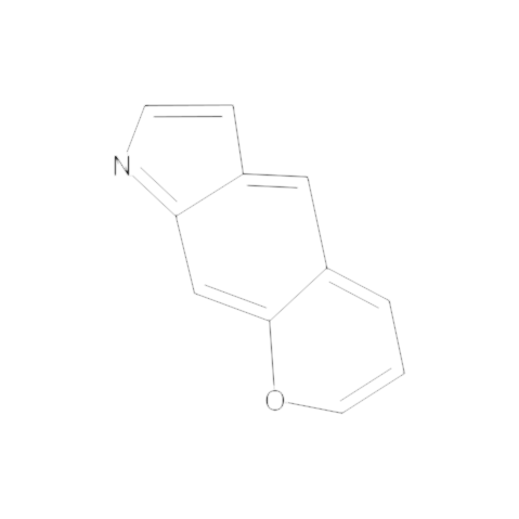 c1coc2cc3nccc3cc2c1